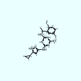 CCc1nc(Nc2cc(C3CC3)[nH]n2)nc(NC(C)c2cc(F)ccc2F)n1